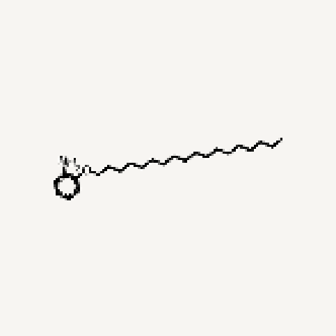 CCCCCCCCCCCCCCCCCCOc1ccccc1N